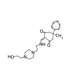 CC1(c2ccccc2)CC(=O)C(=CNCCN2CCN(CCO)CC2)C(=O)C1